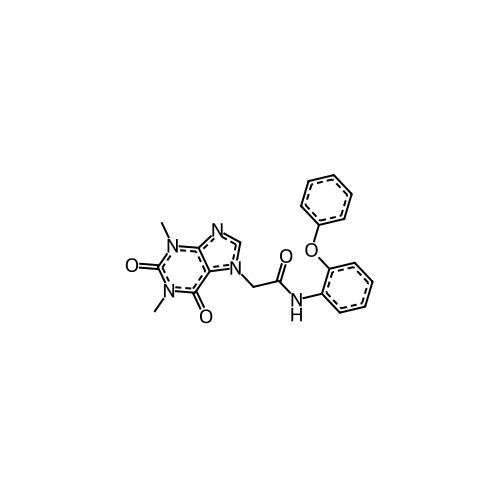 Cn1c(=O)c2c(ncn2CC(=O)Nc2ccccc2Oc2ccccc2)n(C)c1=O